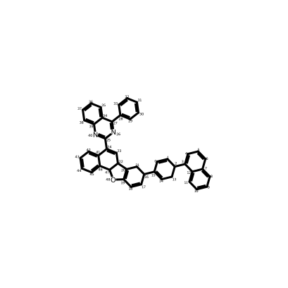 C1=CC(c2cccc3ccccc23)CC=C1C1C=CC2=C(C1)C1C=C(c3nc(-c4ccccc4)c4ccccc4n3)c3ccccc3C1O2